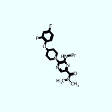 CC(C)Nc1nc(C(=O)N(C)C)cnc1N1CCC(Oc2ccc(F)cc2F)CC1